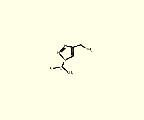 CC(C)[C@H](C)n1cc(CN)nn1